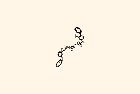 CC(C(=O)OCCSCC(=O)NCCCOc1cccc(CN2CCCCC2)c1)c1ccc(-c2ccccc2)c(F)c1